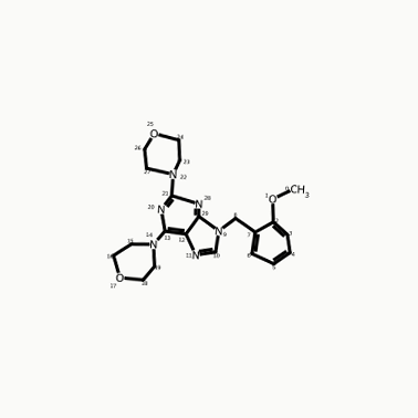 COc1ccccc1Cn1cnc2c(N3CCOCC3)nc(N3CCOCC3)nc21